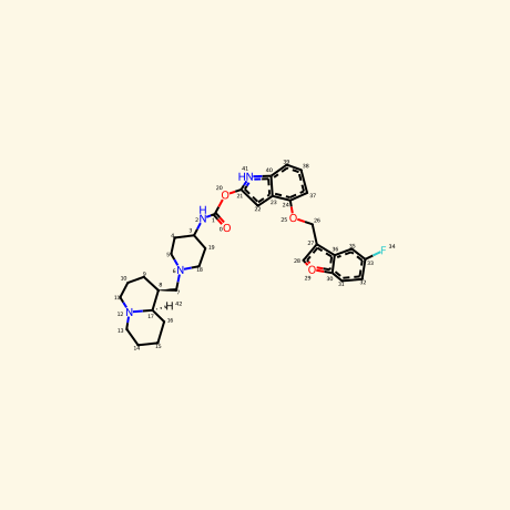 O=C(NC1CCN(C[C@@H]2CCCN3CCCC[C@H]23)CC1)Oc1cc2c(OCc3coc4ccc(F)cc34)cccc2[nH]1